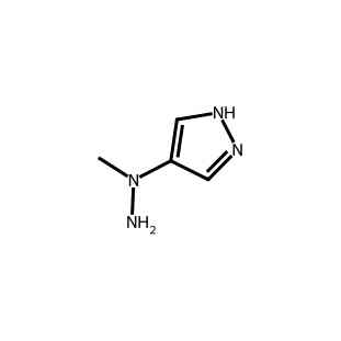 CN(N)c1cn[nH]c1